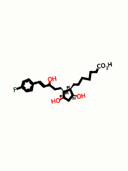 O=C(O)CCCCCC[C@@H]1[C@@H](CCC(O)C=Cc2ccc(F)cc2)[C@H](O)C[C@@H]1O